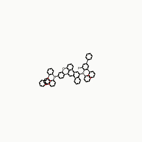 Fc1cc(-c2ccccc2)cc(-c2ccccc2)c1N(c1ccccc1)c1cc2c3cccc4c3c(cc2c2ccccc12)-c1ccc(N(c2ccccc2-c2ccccc2)c2cccc3c2oc2ccccc23)cc1O4